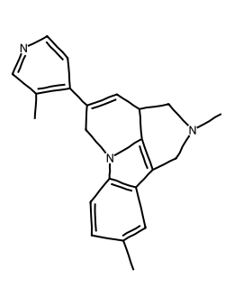 Cc1ccc2c(c1)c1c3n2CC(c2ccncc2C)=CC3CN(C)C1